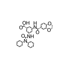 O=C(O)c1cc(NC(=O)c2ccc3c(c2)OCCO3)cc(NC(=O)N(c2ccccc2)c2ccccc2)c1